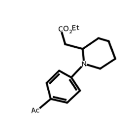 CCOC(=O)CC1CCCCN1c1ccc(C(C)=O)cc1